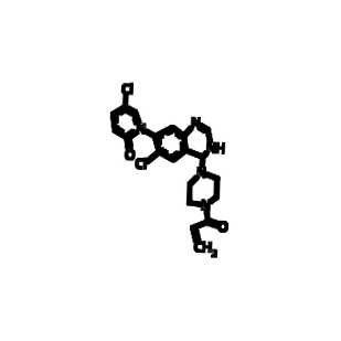 C=CC(=O)N1CCN(C2NC=Nc3cc(-n4cc(Cl)ccc4=O)c(Cl)cc32)CC1